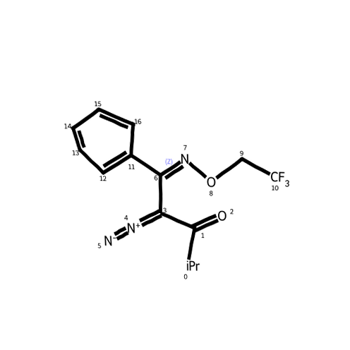 CC(C)C(=O)C(=[N+]=[N-])/C(=N\OCC(F)(F)F)c1ccccc1